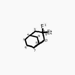 CCC1(F)CC2CCCC(C2)C1